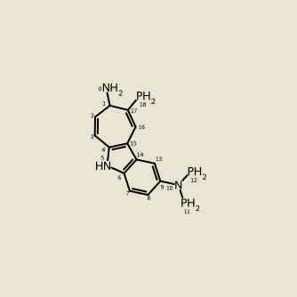 NC1C=Cc2[nH]c3ccc(N(P)P)cc3c2C=C1P